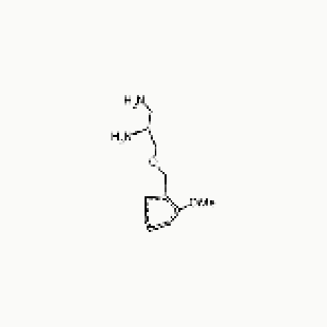 COc1ccccc1COC[C@@H](N)CN